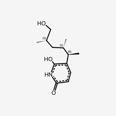 C[C@H](CO)C[C@H](C)[C@@H](C)c1ccc(=O)[nH]c1O